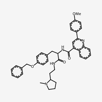 COc1ccc(-c2cc(C(=O)NC(Cc3ccc(OCc4ccccc4)cc3)C(=O)NCCC3CCCN3C)c3ccccc3n2)cc1